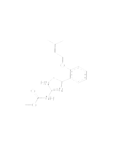 COC(=O)NC1=NC(c2ccccc2OCCC(C)C)CN1